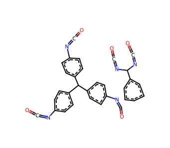 O=C=NC(N=C=O)c1ccccc1.O=C=Nc1ccc(C(c2ccc(N=C=O)cc2)c2ccc(N=C=O)cc2)cc1